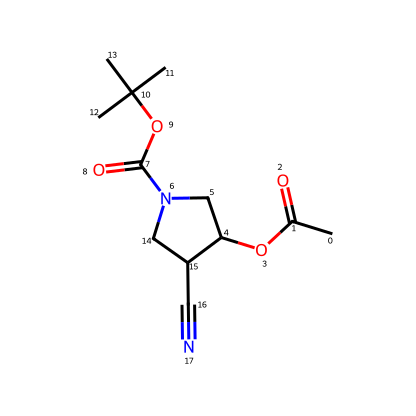 CC(=O)OC1CN(C(=O)OC(C)(C)C)CC1C#N